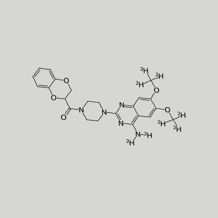 [2H]N([2H])c1nc(N2CCN(C(=O)C3COc4ccccc4O3)CC2)nc2cc(OC([2H])([2H])[2H])c(OC([2H])([2H])[2H])cc12